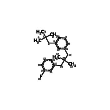 CC(C)(C)Cc1cccc(CC(C)(C)Cc2cccc(F)c2)c1